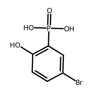 O=P(O)(O)c1cc(Br)ccc1O